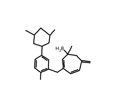 BC1(C)C=C(Cc2cc(C3CC(C)CC(C)C3)ccc2C)C=CC(=C)C1